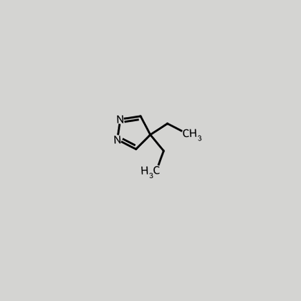 CCC1(CC)C=NN=C1